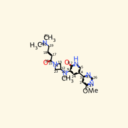 COc1cc(-c2c[nH]c(=O)c(N(C)C3CN(C(=O)/C=C/CN(C)C)C3)c2)ncn1